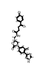 O=C(CCC(=O)c1ccc(Cl)cc1)NC[C@H]1CN(c2ccc(-c3nc[nH]n3)c(F)c2)C(=O)O1